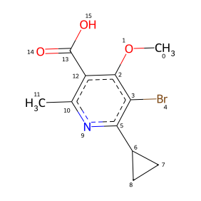 COc1c(Br)c(C2CC2)nc(C)c1C(=O)O